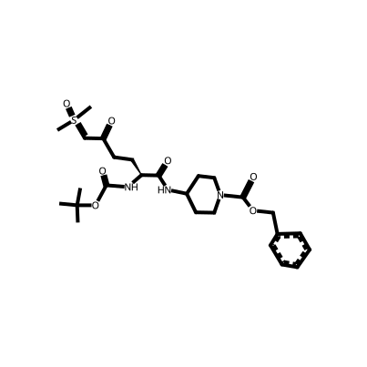 CC(C)(C)OC(=O)N[C@@H](CCC(=O)C=S(C)(C)=O)C(=O)NC1CCN(C(=O)OCc2ccccc2)CC1